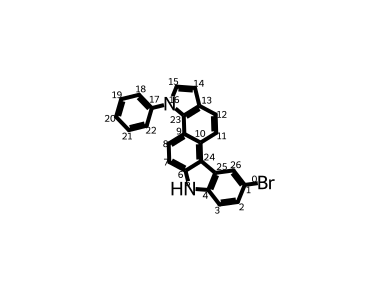 Brc1ccc2[nH]c3ccc4c(ccc5ccn(-c6ccccc6)c54)c3c2c1